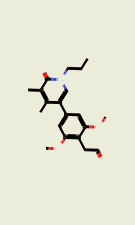 CCCn1cc(-c2cc(OC)c(CC=O)c(OC)c2)c(C)c(C)c1=O